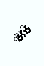 CCC(C)(Pc1ccccc1C(C)=O)c1cccc(OC)c1OC